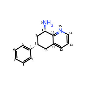 N[C@@H]1C[C@@H](c2ccccc2)Cc2cccnc21